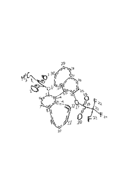 CS(=O)(=O)Oc1ccc2ccccc2c1-c1c(OS(=O)(=O)C(F)(F)F)ccc2ccccc12